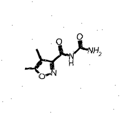 Cc1onc(C(=O)NC(N)=O)c1C